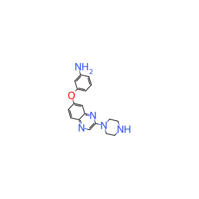 Nc1cccc(Oc2ccc3ncc(N4CCNCC4)nc3c2)c1